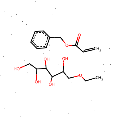 C=CC(=O)OCc1ccccc1.CCOCC(O)C(O)C(O)C(O)CO